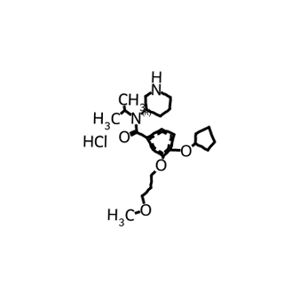 COCCCOc1cc(C(=O)N(C(C)C)[C@@H]2CCCNC2)ccc1OC1CCCC1.Cl